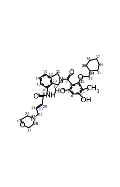 Cc1c(O)cc(O)c(C(=O)N2Cc3cccc(NC(=O)/C=C/CN4CCOCC4)c3C2)c1OCC1CCCCC1